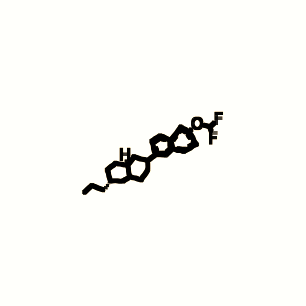 CCC[C@@H]1CC[C@@H]2CC(c3ccc4cc(OC(F)F)ccc4c3)CCC2C1